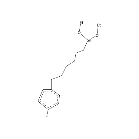 CCO[SiH](CCCCCCc1ccc(F)cc1)OCC